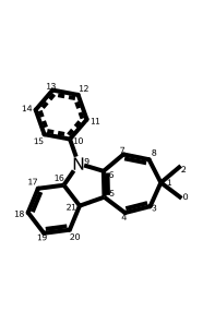 CC1(C)C=CC2=C(C=C1)N(c1ccccc1)C1C=CC=CC21